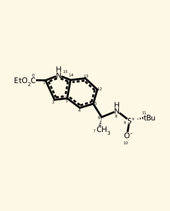 CCOC(=O)c1cc2cc([C@@H](C)N[S@@+]([O-])C(C)(C)C)ccc2[nH]1